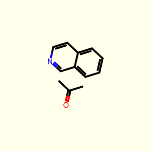 CC(C)=O.c1ccc2cnccc2c1